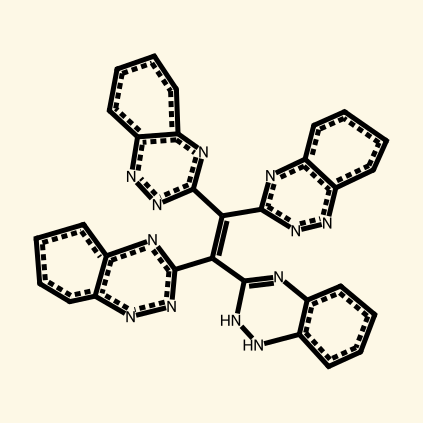 c1ccc2c(c1)N=C(C(=C(c1nnc3ccccc3n1)c1nnc3ccccc3n1)c1nnc3ccccc3n1)NN2